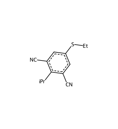 CCSc1cc(C#N)c(C(C)C)c(C#N)c1